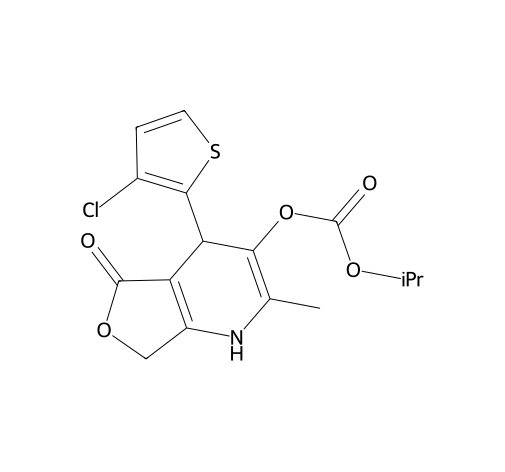 CC1=C(OC(=O)OC(C)C)C(c2sccc2Cl)C2=C(COC2=O)N1